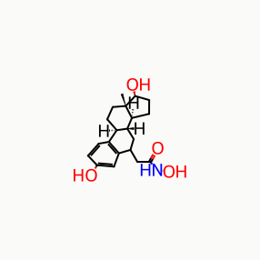 C[C@]12CC[C@@H]3c4ccc(O)cc4C(CC(=O)NO)C[C@H]3[C@@H]1CC[C@@H]2O